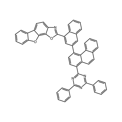 c1ccc(-c2nc(-c3ccccc3)nc(-c3ccc(-c4cc(-c5nc6ccc7c8ccccc8oc7c6o5)c5ccccc5c4)c4c3ccc3ccccc34)n2)cc1